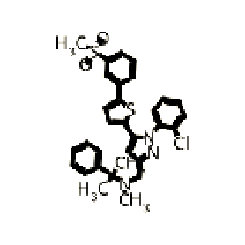 CN(Cc1cc(-c2ccc(-c3cccc(S(C)(=O)=O)c3)s2)n(-c2ccccc2Cl)n1)C(C)(C)c1ccccc1